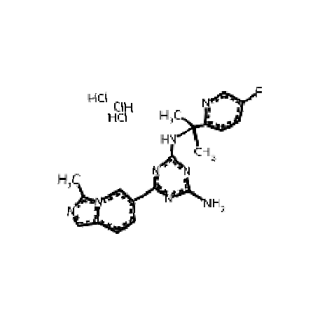 Cc1ncc2ccc(-c3nc(N)nc(NC(C)(C)c4ccc(F)cn4)n3)cn12.Cl.Cl.Cl